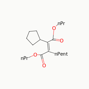 CCCCCC(C(=O)OCCC)=C(C(=O)OCCC)C1CCCC1